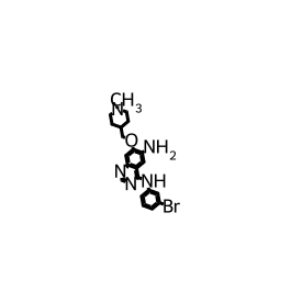 CN1CCC(COc2cc3ncnc(Nc4cccc(Br)c4)c3cc2N)CC1